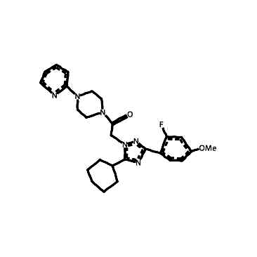 COc1ccc(-c2nc(C3CCCCC3)n(CC(=O)N3CCN(c4ccccn4)CC3)n2)c(F)c1